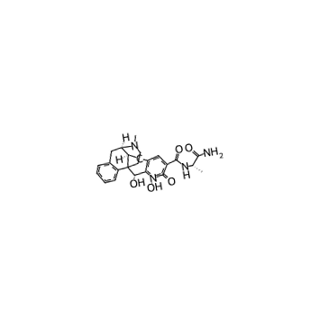 C[C@H](NC(=O)c1cc2c(n(O)c1=O)[C@H](O)C13CCN(C)[C@H](Cc4ccccc41)[C@H]3C2)C(N)=O